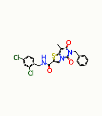 Cc1c(=O)n(Cc2ccccc2)c(=O)n2cc(C(=O)NCc3ccc(Cl)cc3Cl)sc12